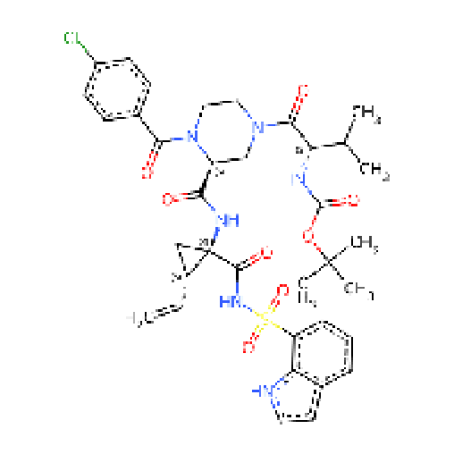 C=C[C@@H]1C[C@]1(NC(=O)[C@@H]1CN(C(=O)[C@@H](NC(=O)OC(C)(C)C)C(C)C)CCN1C(=O)c1ccc(Cl)cc1)C(=O)NS(=O)(=O)c1cccc2cc[nH]c12